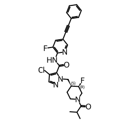 CC(C)C(=O)N1CC[C@@H](Cn2ncc(Cl)c2C(=O)Nc2ncc(C#Cc3ccccc3)cc2F)[C@@H](F)C1